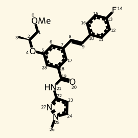 COC[C@H](C)Oc1cc(C=Cc2ccc(F)cc2)cc(C(=O)Nc2ccn(C)n2)c1